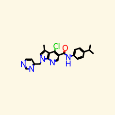 Cc1cn(Cc2ccncn2)c2ncc(C(=O)Nc3ccc(C(C)C)cc3)c(Cl)c12